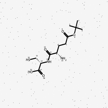 CC(C)(C)OC(=O)CC[C@H](N)C(=O)N[C@@H](CS)C(=O)O